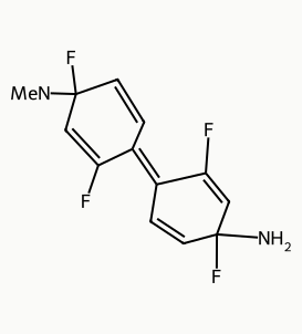 CNC1(F)C=CC(=C2C=CC(N)(F)C=C2F)C(F)=C1